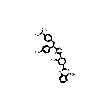 CSc1ccccc1NC(=O)N1CCN(c2nc(C(Cc3ccc(N(C)C)cc3)c3ccc(N)cc3)ns2)C(C)C1